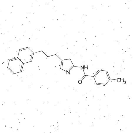 Cc1ccc(C(=O)NC2=NC=C(CCCc3ccc4ccccc4c3)C2)cc1